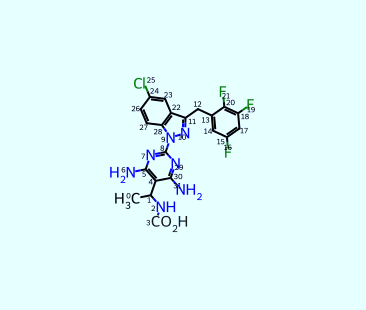 CC(NC(=O)O)c1c(N)nc(-n2nc(Cc3cc(F)cc(F)c3F)c3cc(Cl)ccc32)nc1N